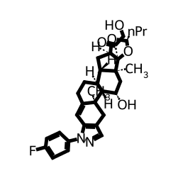 CCC[C@H]1O[C@@H]2C[C@H]3[C@@H]4CCC5=Cc6c(cnn6-c6ccc(F)cc6)C[C@]5(C)[C@H]4[C@@H](O)C[C@]3(C)[C@]2(C(=O)CO)O1